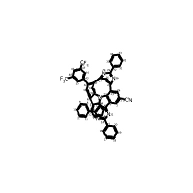 N#Cc1cc(-c2cc(-c3ccccc3)nc(-c3ccccc3)n2)c2c(c1)c1cc(nc(-c3ccccc3)n1)c1cc3c(cc1-c1cc(C(F)(F)F)cc(C(F)(F)F)c1)c1ccccc1n32